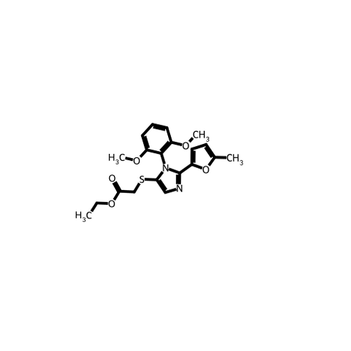 CCOC(=O)CSc1cnc(-c2ccc(C)o2)n1-c1c(OC)cccc1OC